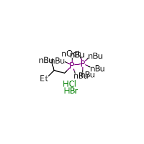 Br.CCCCCCCCP(CCCC)(CCCC)(CCCC)P(CCCC)(CCCC)(CCCC)CC(CC)CCCC.Cl